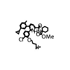 COC(=O)C1(NC(=O)c2ccc(-c3cc(C4CC4)ccc3C)c(-c3ccc(Cl)c(OCCCN(C)C)c3)n2)CCCCC1